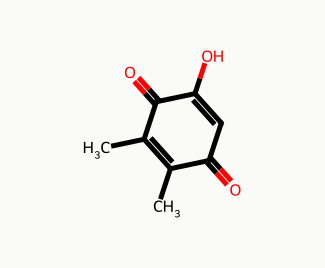 CC1=C(C)C(=O)C(O)=CC1=O